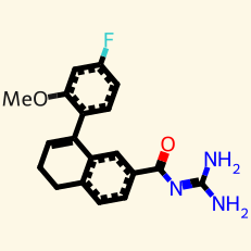 COc1cc(F)ccc1C1=CCCc2ccc(C(=O)N=C(N)N)cc21